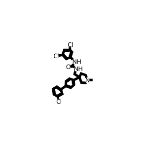 CN1CCC(CNC(=O)Nc2cc(Cl)cc(Cl)c2)(c2ccc(-c3cccc(Cl)c3)cc2)CC1